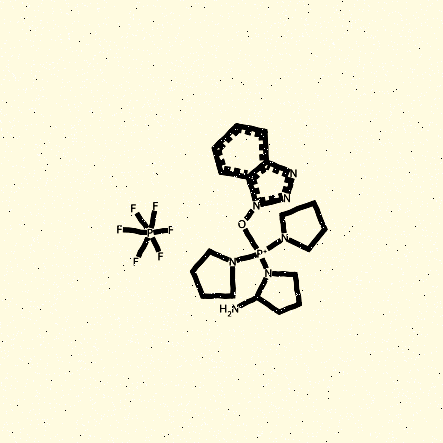 F[P-](F)(F)(F)(F)F.NC1CCCN1[P+](On1nnc2ccccc21)(N1CCCC1)N1CCCC1